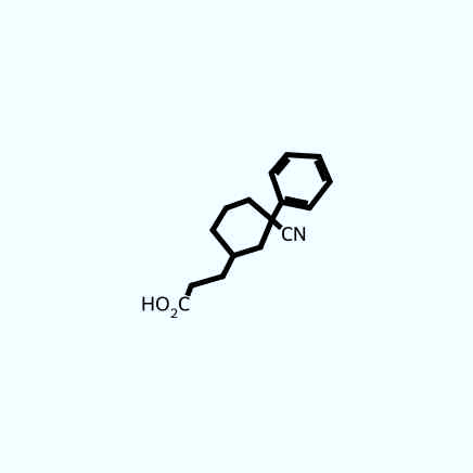 N#CC1(c2ccccc2)CCCC(CCC(=O)O)C1